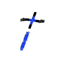 CCCC[N+](C)(C)CCCC.[N-]=[N+]=[N-]